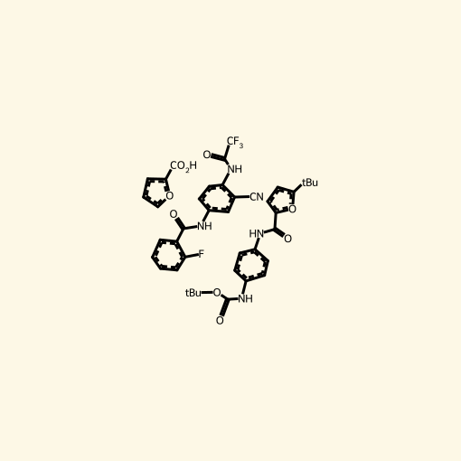 CC(C)(C)OC(=O)Nc1ccc(NC(=O)c2ccc(C(C)(C)C)o2)cc1.N#Cc1cc(NC(=O)c2ccccc2F)ccc1NC(=O)C(F)(F)F.O=C(O)c1ccco1